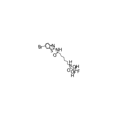 O=C(CCCCCCNC(=O)C(O)(O)C(F)(F)F)Nc1nc2ccc(Br)cc2s1